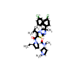 CC[C@@H]1CC[C@@H](C(=O)N(C)[C@@H]2CCN(C)C2)N1C(=O)C1=C(C(C)C)N2C(=N[C@@](C)(c3ccc(Cl)cc3)[C@H]2c2ccc(Cl)cc2)S1